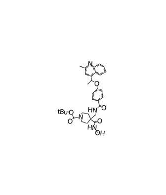 Cc1cc(C(C)Oc2ccc(C(=O)NCC3(C(=O)NO)CCN(C(=O)OC(C)(C)C)CC3)cc2)c2ccccc2n1